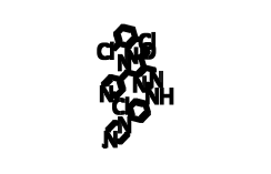 CN1CCN(c2ccc(Nc3ncc4c(=O)n(-c5c(Cl)cccc5Cl)nc(-c5ccnc(Cl)c5)c4n3)cc2)CC1